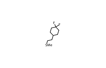 CSCCC1CCC(F)(F)CC1